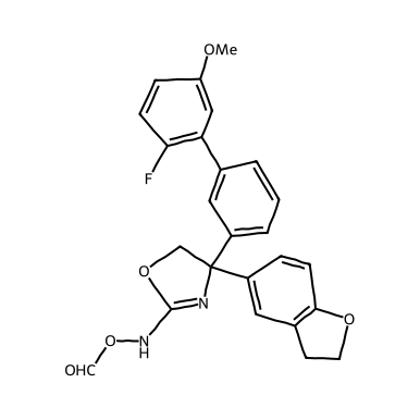 COc1ccc(F)c(-c2cccc(C3(c4ccc5c(c4)CCO5)COC(NOC=O)=N3)c2)c1